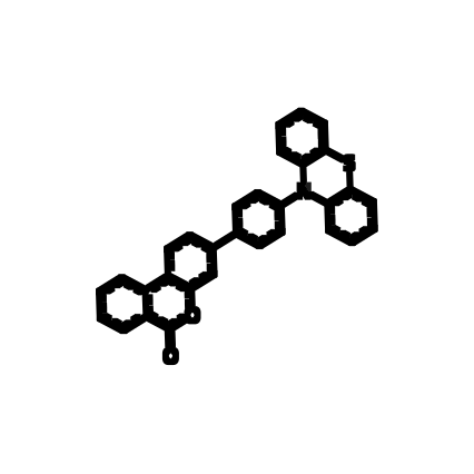 O=c1oc2cc(-c3ccc(N4c5ccccc5Sc5ccccc54)cc3)ccc2c2ccccc12